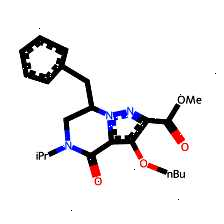 CCCCOc1c(C(=O)OC)nn2c1C(=O)N(C(C)C)CC2Cc1ccccc1